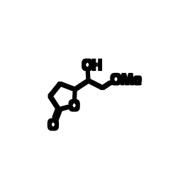 COCC(O)C1CCC(=O)O1